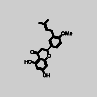 COc1ccc([C@@H]2CC(=O)c3c(O)cc(O)cc3O2)cc1CC=C(C)C